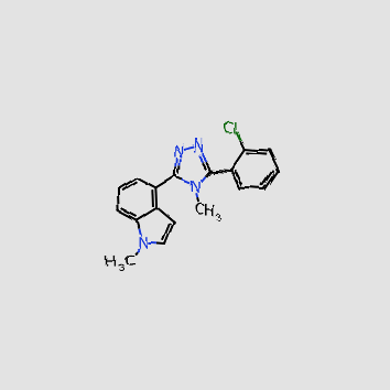 Cn1c(-c2ccccc2Cl)nnc1-c1cccc2c1ccn2C